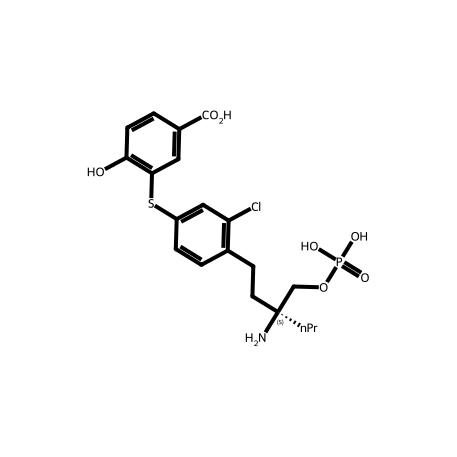 CCC[C@](N)(CCc1ccc(Sc2cc(C(=O)O)ccc2O)cc1Cl)COP(=O)(O)O